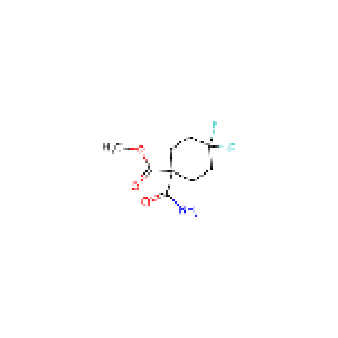 COC(=O)C1(C(N)=O)CCC(F)(F)CC1